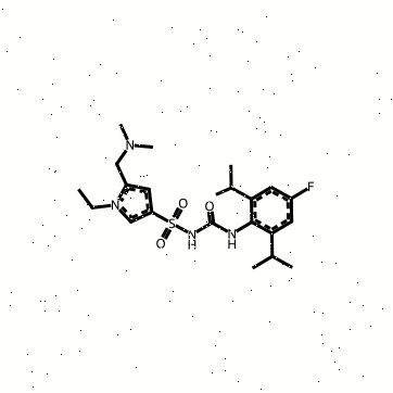 CCn1cc(S(=O)(=O)NC(=O)Nc2c(C(C)C)cc(F)cc2C(C)C)cc1CN(C)C